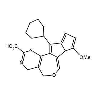 COC1=CC=C2C(C3CCCCC3)=C3C(=COCC4=C3SC(C(=O)O)=NC4)C12